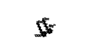 CCCCCCCCCCCCCCCCOc1ccccc1C(=O)[O-].CCCCCCCCCCCCCCCCOc1ccccc1C(=O)[O-].[Mg+2]